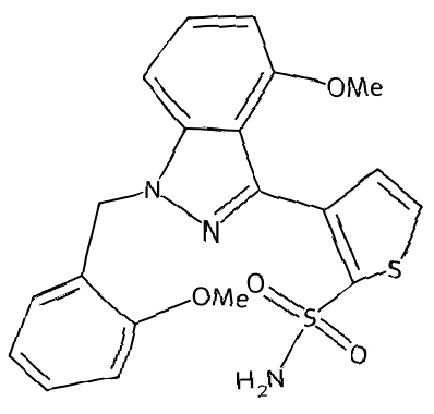 COc1ccccc1Cn1nc(-c2ccsc2S(N)(=O)=O)c2c(OC)cccc21